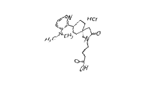 CN(C)c1cccnc1C1CCC2(CC1)CC(=O)N(CCCC(=O)O)C2.Cl